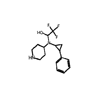 OC(N(C1CCNCC1)C1CC1c1ccccc1)C(F)(F)F